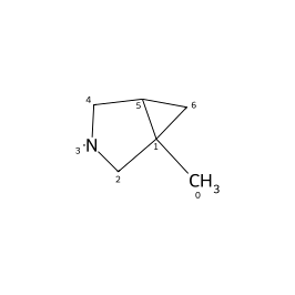 CC12C[N]CC1C2